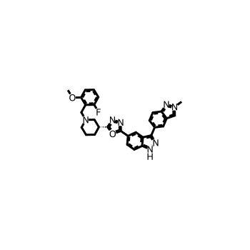 COc1cccc(F)c1CN1CCC[C@@H](c2nnc(-c3ccc4[nH]nc(-c5ccc6nn(C)cc6c5)c4c3)o2)C1